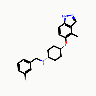 Cc1c(O[C@H]2CC[C@@H](NCc3cccc(Cl)c3)CC2)ccc2[nH]ncc12